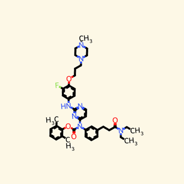 CCN(CC)C(=O)CCc1cccc(N(C(=O)Oc2c(C)cccc2C)c2ccnc(Nc3ccc(OCCCN4CCN(C)CC4)c(F)c3)n2)c1